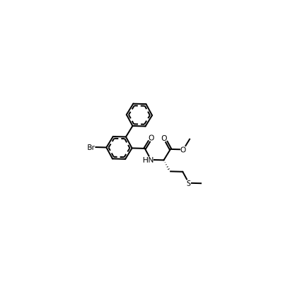 COC(=O)[C@H](CCSC)NC(=O)c1ccc(Br)cc1-c1ccccc1